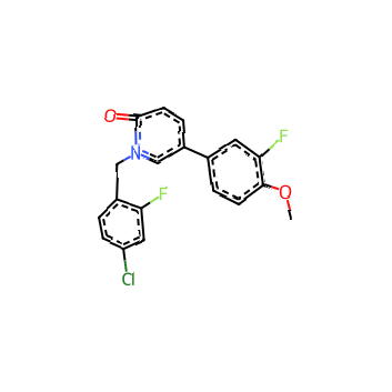 COc1ccc(-c2ccc(=O)n(Cc3ccc(Cl)cc3F)c2)cc1F